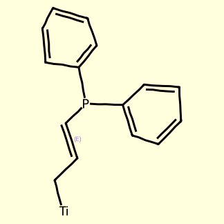 [Ti][CH2]/C=C/P(c1ccccc1)c1ccccc1